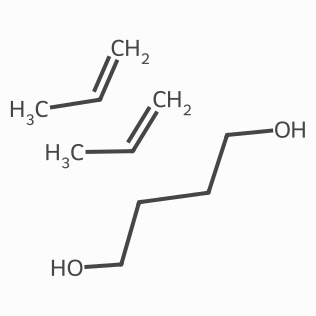 C=CC.C=CC.OCCCCO